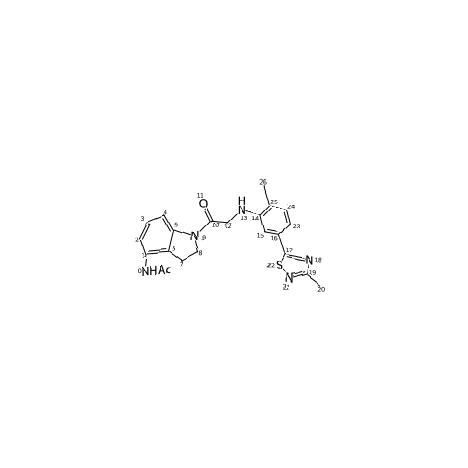 CC(=O)Nc1cccc2c1CCN2C(=O)CNc1cc(-c2nc(C)ns2)ccc1C